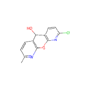 Cc1ccc2c(n1)Oc1nc(Cl)ccc1C2O